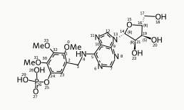 COc1c(CNc2ncnc3c2ncn3[C@@H]2O[C@H](CO)[C@@H](O)[C@H]2O)cc(OP(=O)(O)O)c(OC)c1OC